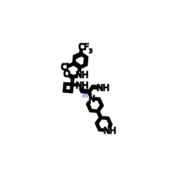 N=C/C(=C\NC1(C(=O)Nc2ccc(C(F)(F)F)cc2Cl)CCC1)N1CCC(C2CCNCC2)CC1